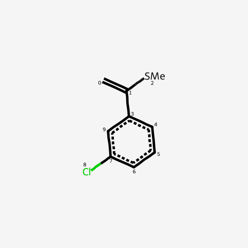 C=C(SC)c1cccc(Cl)c1